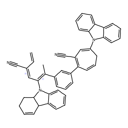 C=C/C(C#N)=C\C(=C(/C)c1cccc(C2=C(C#N)C=C(n3c4ccccc4c4ccccc43)CC=C2)c1)N1c2ccccc2C2C=CCCC21